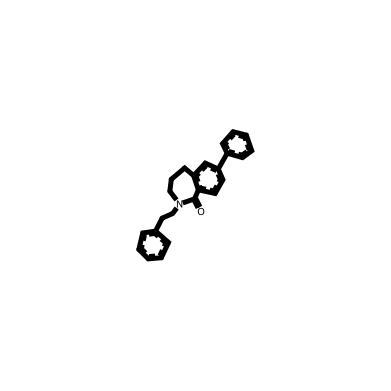 O=C1c2ccc(-c3ccccc3)cc2CCCN1CCc1ccccc1